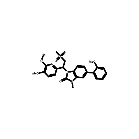 CCOc1nc(C(CS(C)(=O)=O)n2c(=O)n(C)c3cc(-c4ccccc4OC)ccc32)ccc1OC